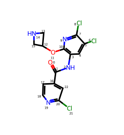 O=C(Nc1cc(Cl)c(Cl)nc1OC1CNC1)c1ccnc(Cl)c1